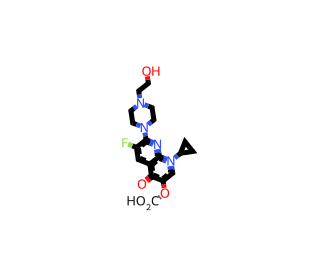 O=C(O)Oc1cn(C2CC2)c2nc(N3CCN(CCO)CC3)c(F)cc2c1=O